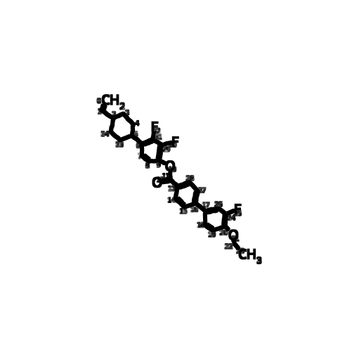 C=CC1CCC(c2ccc(OC(=O)c3ccc(-c4ccc(OCC)c(F)c4)cc3)c(F)c2F)CC1